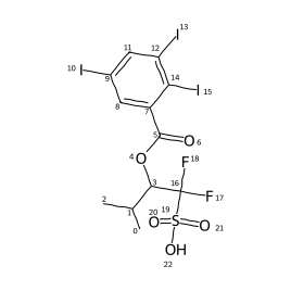 CC(C)C(OC(=O)c1cc(I)cc(I)c1I)C(F)(F)S(=O)(=O)O